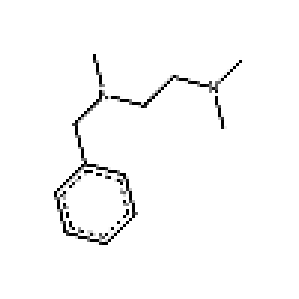 CN(C)C[CH]N(C)Cc1ccccc1